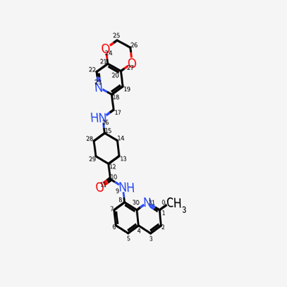 Cc1ccc2cccc(NC(=O)C3CCC(NCc4cc5c(cn4)OCCO5)CC3)c2n1